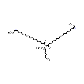 CCCCCCCC/C=C\CCCCCCCCCCCCCC(=O)N(C(=O)CCCCCCCCCCCCC/C=C\CCCCCCCC)[C@@H](CCCCN)C(=O)O